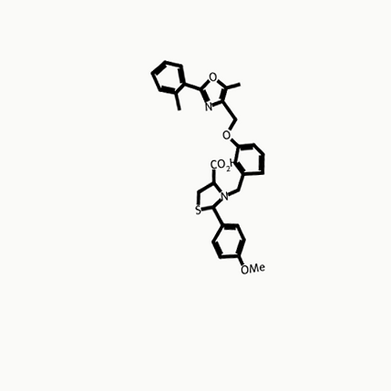 COc1ccc(C2SCC(C(=O)O)N2Cc2cccc(OCc3nc(-c4ccccc4C)oc3C)c2)cc1